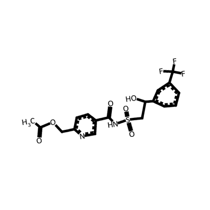 CC(=O)OCc1ccc(C(=O)NS(=O)(=O)CC(O)c2cccc(C(F)(F)F)c2)cn1